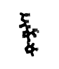 Cc1ccc(COc2nsc(NC(=O)NCC(C)O)c2C(N)=O)c(C)c1F